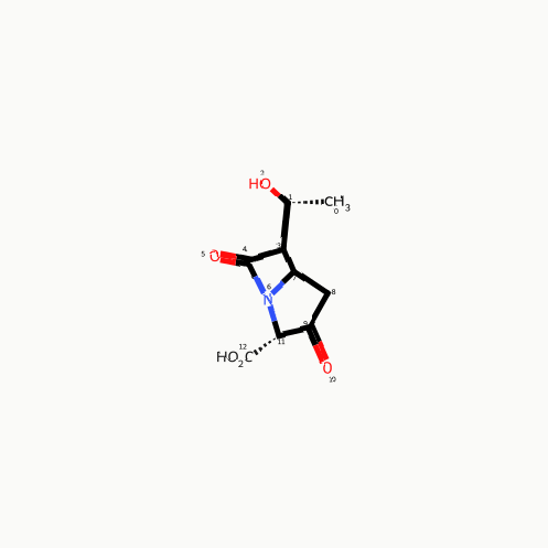 C[C@@H](O)C1C(=O)N2C1CC(=O)[C@@H]2C(=O)O